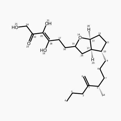 C=C(CCC)[C@@H](C)CCC[C@H]1CC[C@@H]2OC(CCC(O)=C(O)C(=O)CO)C[C@H]12